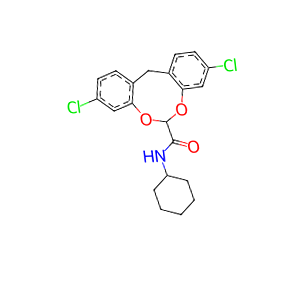 O=C(NC1CCCCC1)C1Oc2cc(Cl)ccc2Cc2ccc(Cl)cc2O1